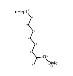 CCCCCCCCCCCCCC(C)OOC